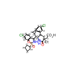 CC[C@@]1(CC(=O)O)C[C@H](c2cccc(Cl)c2)[C@@H](C(C2CC2)[C@H](NS(=O)(=O)C2CCCC2)c2ccc(Cl)cc2)NC1=O